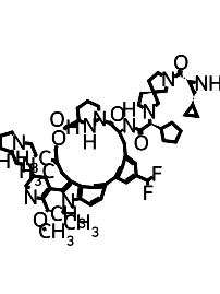 CCn1c(C2=C([C@H](C)OC)N=CC(N3CCN4CCC[C@@H]4C3)C2)c2c3cc(ccc31)-c1cc(cc(C(F)F)c1)C[C@H](NC(=O)[C@H](C1CCCC1)N1CC[C@]3(CCN(C(=O)[C@@H]4N[C@@H]4C4CC4)C3)C1)C(=O)N1CCC[C@H](N1)C(=O)OCC(C)(C)C2